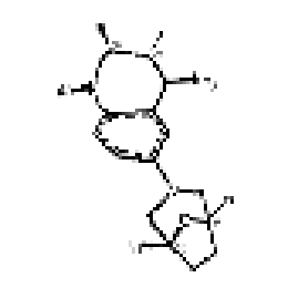 CC(=O)N1c2ccc(N3C[C@H]4CC[C@@H](C3)O4)cc2C(N)[C@@H](C)[C@@H]1C